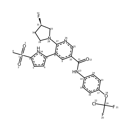 CS(=O)(=O)c1ccc(-c2cc(C(=O)Nc3ccc(OC(F)(F)Cl)cc3)cnc2N2CC[C@@H](F)C2)[nH]1